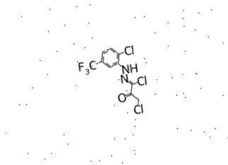 O=C(CCl)C(Cl)=NNc1cc(C(F)(F)F)ccc1Cl